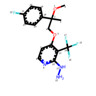 COC(C)(COc1ccnc(NN)c1C(F)(F)F)c1ccc(F)cc1